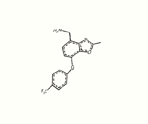 Cc1nc2c(CN)ccc(Oc3ccc(C(F)(F)F)cc3)c2o1